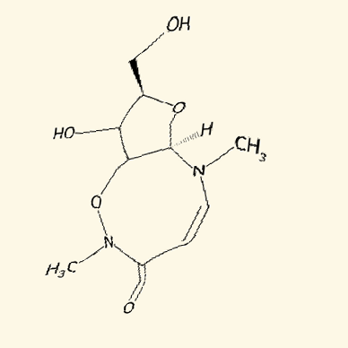 CN1OC2C(O)[C@@H](CO)O[C@H]2N(C)/C=C\C1=O